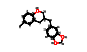 Cc1ccc2c(c1)CC(Cc1ccc3c(c1)OCO3)CO2